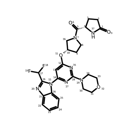 O=C1CC[C@@H](C(=O)N2CC[C@H](Oc3cc(-n4c(C(F)F)nc5ccccc54)nc(N4CCOCC4)n3)C2)N1